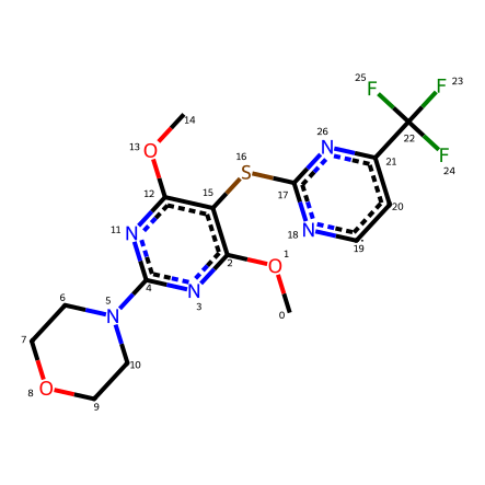 COc1nc(N2CCOCC2)nc(OC)c1Sc1n[c]cc(C(F)(F)F)n1